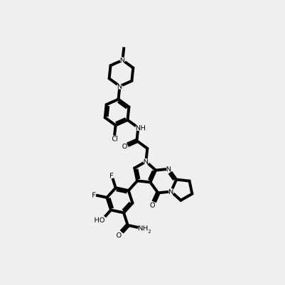 CN1CCN(c2ccc(Cl)c(NC(=O)Cn3cc(-c4cc(C(N)=O)c(O)c(F)c4F)c4c(=O)n5c(nc43)CCC5)c2)CC1